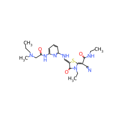 CCCN(C)CC(=O)Nc1cccc(NC=c2sc(=C(C#N)C(=O)NCC)n(CC)c2=O)n1